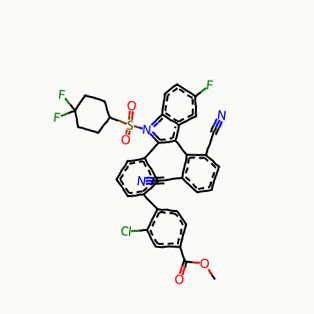 COC(=O)c1ccc(-c2cccc(-c3c(-c4c(C#N)cccc4C#N)c4cc(F)ccc4n3S(=O)(=O)C3CCC(F)(F)CC3)c2)c(Cl)c1